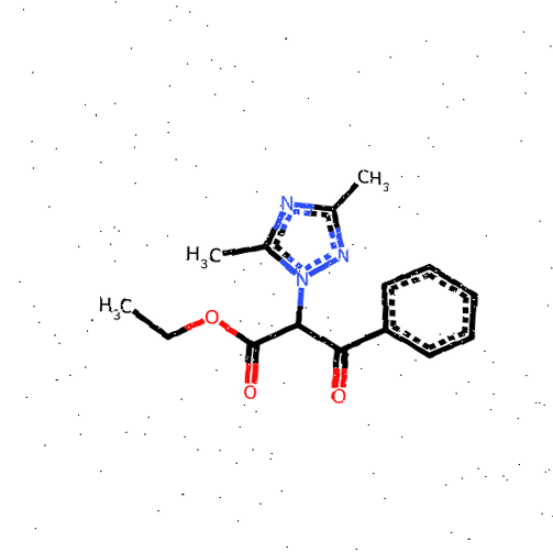 CCOC(=O)C(C(=O)c1ccccc1)n1nc(C)nc1C